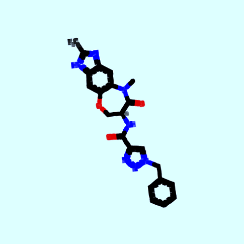 CN1C(=O)[C@@H](NC(=O)c2cn(Cc3ccccc3)nn2)COc2cc3[nH]c(C(F)(F)F)nc3cc21